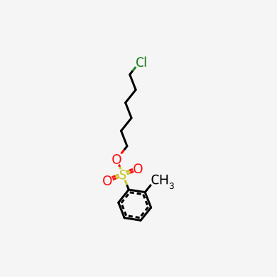 Cc1ccccc1S(=O)(=O)OCCCCCCCl